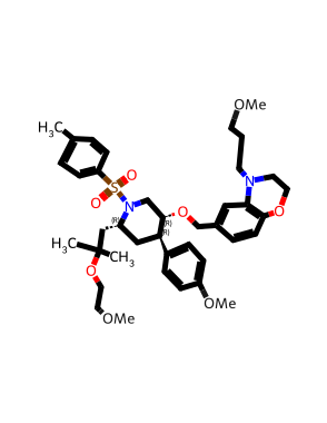 COCCCN1CCOc2ccc(CO[C@H]3CN(S(=O)(=O)c4ccc(C)cc4)[C@@H](CC(C)(C)OCCOC)C[C@@H]3c3ccc(OC)cc3)cc21